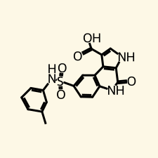 Cc1cccc(NS(=O)(=O)c2ccc3[nH]c(=O)c4[nH]cc(C(=O)O)c4c3c2)c1